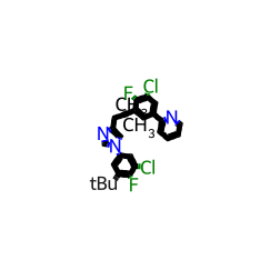 CC(C)(C)c1cc(-n2cnc(CC(C)(C)c3cc(-c4ccccn4)cc(Cl)c3F)c2)cc(Cl)c1F